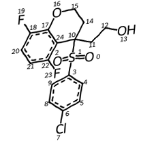 O=S(=O)(c1ccc(Cl)cc1)C1(CCO)CCOc2c(F)ccc(F)c21